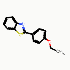 CCOc1ccc(-c2nc3ccccc3s2)cc1